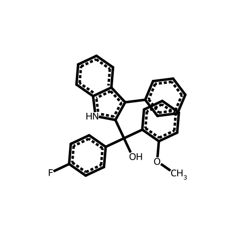 COc1ccccc1C(O)(c1ccc(F)cc1)c1[nH]c2ccccc2c1-c1ccccc1